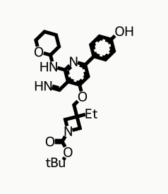 CCC1(COc2cc(-c3ccc(O)cc3)nc(NC3CCCCO3)c2C=N)CN(C(=O)OC(C)(C)C)C1